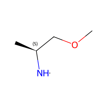 COC[C@H](C)[NH]